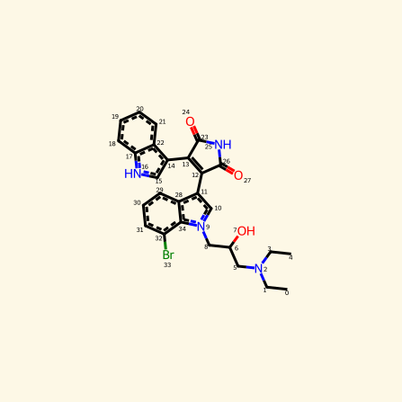 CCN(CC)CC(O)Cn1cc(C2=C(c3c[nH]c4ccccc34)C(=O)NC2=O)c2cccc(Br)c21